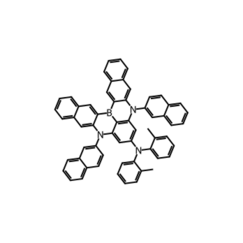 Cc1ccccc1N(c1cc2c3c(c1)N(c1ccc4ccccc4c1)c1cc4ccccc4cc1B3c1cc3ccccc3cc1N2c1ccc2ccccc2c1)c1ccccc1C